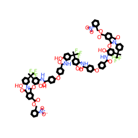 CC(c1cccc(N2C(=O)c3ccc(C(=O)OCc4ccccc4[N+](=O)[O-])cc3C2=O)c1)(c1ccc(O)c(NC(=O)c2ccc(Oc3ccc(C(=O)Nc4cc(C(C)(c5ccc(O)c(NC(=O)c6ccc(Oc7ccc(C(=O)Nc8cc(C(C)(c9ccc(O)c(N%10C(=O)c%11ccc(C(=O)OCc%12ccccc%12[N+](=O)[O-])cc%11C%10=O)c9)C(F)(F)F)ccc8O)cc7)cc6)c5)C(F)(F)F)ccc4O)cc3)cc2)c1)C(F)(F)F